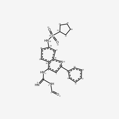 N=C(NC=O)Nc1cc(-c2ccccc2)nc2cc(NS(=O)(=O)C3CCCC3)ccc12